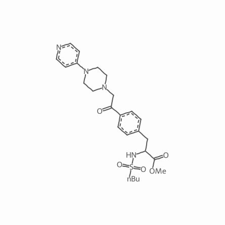 CCCCS(=O)(=O)NC(Cc1ccc(C(=O)CN2CCN(c3ccncc3)CC2)cc1)C(=O)OC